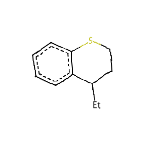 CCC1CCSc2ccccc21